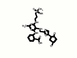 Cc1nc(NCCCS(C)(=N)=O)c(NCc2ncc(-c3cc(Cl)ccc3Cl)o2)c(Nc2ccccc2C(=O)O)n1